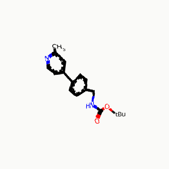 Cc1cc(-c2ccc(CNC(=O)OC(C)(C)C)cc2)ccn1